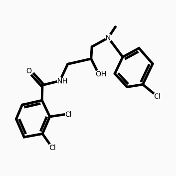 CN(CC(O)CNC(=O)c1cccc(Cl)c1Cl)c1ccc(Cl)cc1